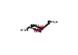 CCCCCC/C=C\C/C=C\CCCCCCC(O)CNCCN(C)CCN(CC(O)CCCCCC/C=C\C/C=C\CCCCCC)CC(O)CCCCCC/C=C\C/C=C\CCCCCC